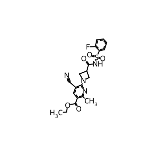 CCOC(=O)c1cc(C#N)c(N2CC(C(=O)NS(=O)(=O)c3ccccc3F)C2)nc1C